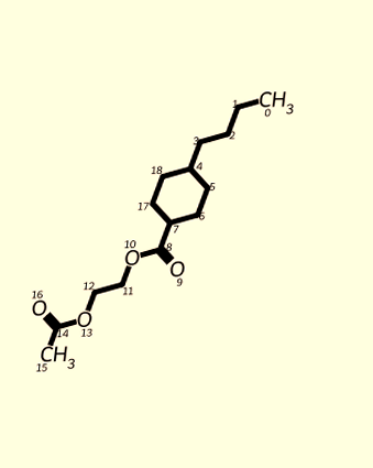 CCCCC1CCC(C(=O)OCCOC(C)=O)CC1